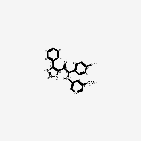 COc1cncc(NC(C(=O)c2snnc2-c2ccccc2)c2ccc(F)cc2)c1